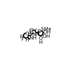 CSC1OC([C@H](NC(=O)[C@H]2NC[C@@H]3CC(F)(F)CCO[C@H]32)[C@H](C)Cl)CC(O)C(O)[C@H]1O